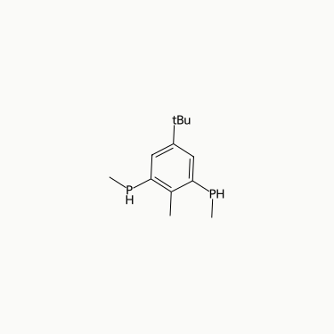 CPc1cc(C(C)(C)C)cc(PC)c1C